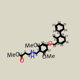 COC(=O)CCNCc1c(OC)cc(OCc2cccc(-c3ccccc3)c2C)cc1OC